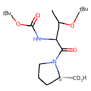 CC(OC(C)(C)C)C(NC(=O)OC(C)(C)C)C(=O)N1CCC[C@H]1C(=O)O